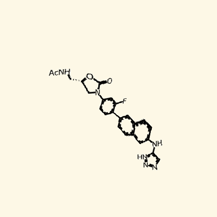 CC(=O)NC[C@H]1CN(c2ccc(-c3ccc4cc(Nc5cnn[nH]5)ccc4c3)c(F)c2)C(=O)O1